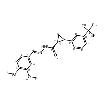 COc1ccc(C=NNC(=O)[C@H]2CC2c2cccc(C(F)(F)F)c2)cc1OC